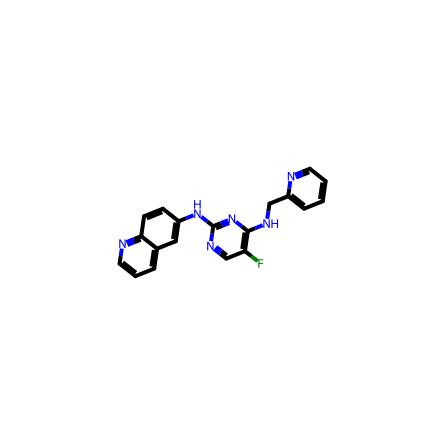 Fc1cnc(Nc2ccc3ncccc3c2)nc1NCc1ccccn1